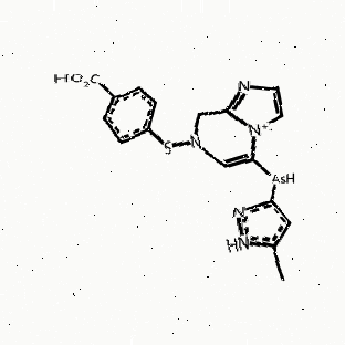 Cc1cc([AsH]C2=CN(Sc3ccc(C(=O)O)cc3)CC3=NC=C[N+]23)n[nH]1